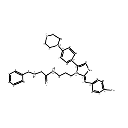 O=C(CNCc1ccccc1)NCCCn1c(-c2ccc(N3CCOCC3)cc2)cs/c1=N\c1ccc(F)cc1